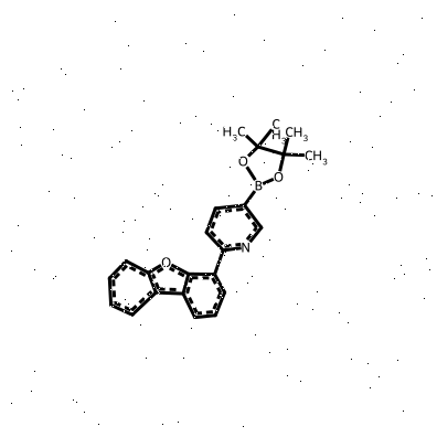 CC1(C)OB(c2ccc(-c3cccc4c3oc3ccccc34)nc2)OC1(C)C